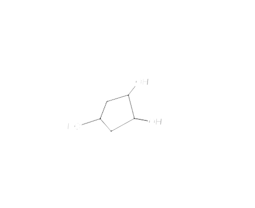 OC1CC(O)C(O)C1